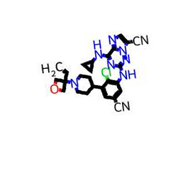 C=CC1(N2CCC(c3cc(C#N)cc(Nc4nc(NC5CC5)c5ncc(C#N)n5n4)c3Cl)CC2)COC1